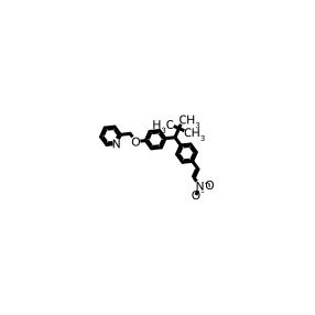 CC(C)(C)C(c1ccc(C=C[N+](=O)[O-])cc1)c1ccc(OCc2ccccn2)cc1